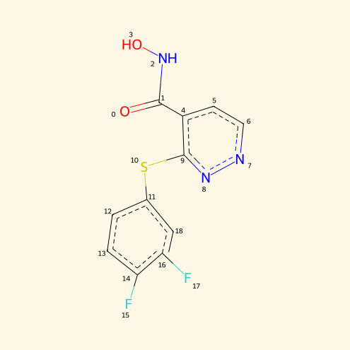 O=C(NO)c1ccnnc1Sc1ccc(F)c(F)c1